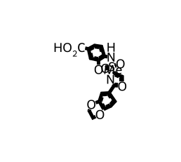 COc1cc(C(=O)O)ccc1NS(=O)(=O)c1coc(-c2ccc3c(c2)OCCO3)n1